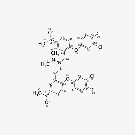 CN(C)N(CCc1cc([S+](C)[O-])ccc1Oc1ccc(Cl)c(Cl)c1)Cc1cc([S+](C)[O-])ccc1Oc1ccc(Cl)c(Cl)c1